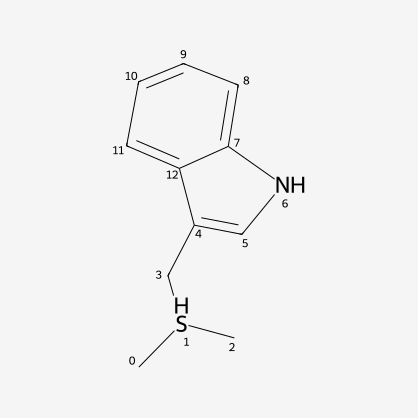 C[SH](C)Cc1c[nH]c2ccccc12